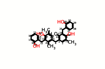 Cc1cc(Cc2cc(C)c(O)c(Cc3ccccc3O)c2C)c(C)c(Cc2ccccc2O)c1O